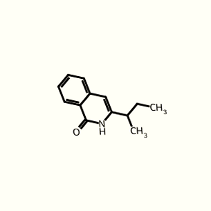 CCC(C)c1cc2ccccc2c(=O)[nH]1